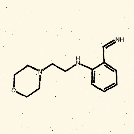 N=Cc1ccccc1NCCN1CCOCC1